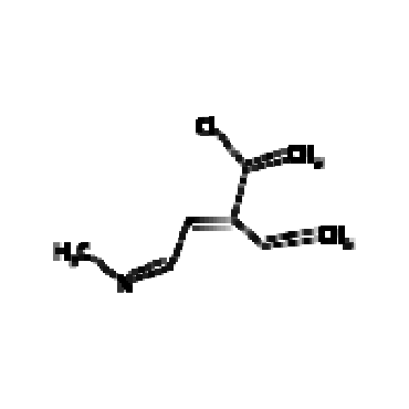 C=C/C(=C\C=N/C)C(=C)Cl